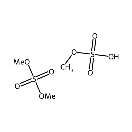 COS(=O)(=O)O.COS(=O)(=O)OC